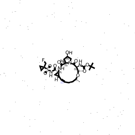 C[C@@H]1CC/C=C\[C@@H]2C[C@@]2(C(=O)NS(=O)(=O)C2(CF)CC2)NC(=O)[C@@H]2C[C@@H](O)CN2C(=O)[C@@H](NC(=O)OC(C)(C)C)[C@H](C)O1